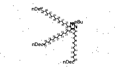 [CH2]CCCc1nc(CCCCCCCCCCCCCCCCCCCCCCC)c(CCCCCCCCCCCCCCCCCCCCCCC)c(CCCCCCCCCCCCCCCCCCCCCCC)n1